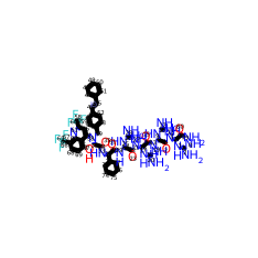 N=C(N)NC(NC(=O)C(NC(=N)N)NC(=O)C(NC(=N)N)NC(=O)C(NC(=N)N)NC(=O)C(NC(=O)C(O)N(Cc1ccc(/C=C/c2ccccc2)cc1)c1cc(C(F)(F)F)nc2c(C(F)(F)F)cccc12)c1ccccc1)C(N)=O